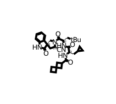 CC(C)(C)C[C@H](NC(=O)[C@H](CC1CC1)NC(=O)C1CC2(CCC2)C1)C(=O)N1C[C@]2(C[C@H]1C#N)C(=O)Nc1ccccc12